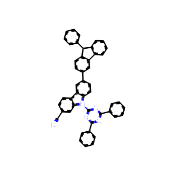 N#Cc1ccc2c3cc(-c4ccc5c(c4)-c4ccccc4C5c4ccccc4)ccc3n(-c3nc(-c4ccccc4)nc(-c4ccccc4)n3)c2c1